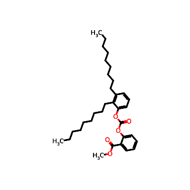 CCCCCCCCCc1cccc(OC(=O)Oc2ccccc2C(=O)OC)c1CCCCCCCCC